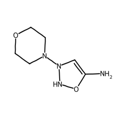 NC1=CN(N2CCOCC2)NO1